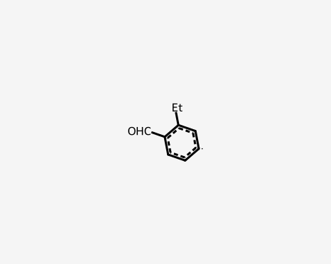 CCc1c[c]ccc1C=O